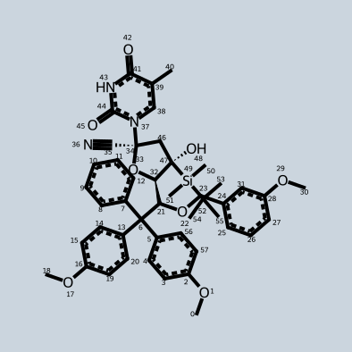 COc1ccc(C(c2ccccc2)(c2ccc(OC)cc2)C(OCc2cccc(OC)c2)[C@H]2O[C@@](C#N)(n3cc(C)c(=O)[nH]c3=O)C[C@@]2(O)[Si](C)(C)C(C)(C)C)cc1